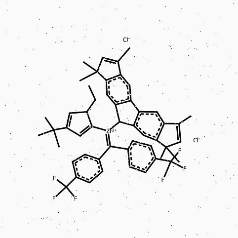 CCC1C=C(C(C)(C)C)C=[C]1[Zr+2](=[C](c1ccc(C(F)(F)F)cc1)c1ccc(C(F)(F)F)cc1)[CH]1c2cc3c(cc2-c2cc4c(cc21)C(C)(C)C=C4C)C(C)=CC3(C)C.[Cl-].[Cl-]